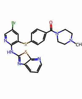 CN1CCN(C(=O)c2ccc(Sc3cc(Br)cnc3Nc3nc4cccnc4s3)cc2)CC1